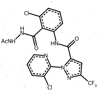 CC(=O)NNC(=O)c1c(Cl)cccc1NC(=O)c1cc(C(F)(F)F)nn1-c1ncccc1Cl